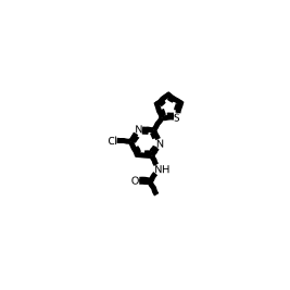 CC(=O)Nc1cc(Cl)nc(-c2cccs2)n1